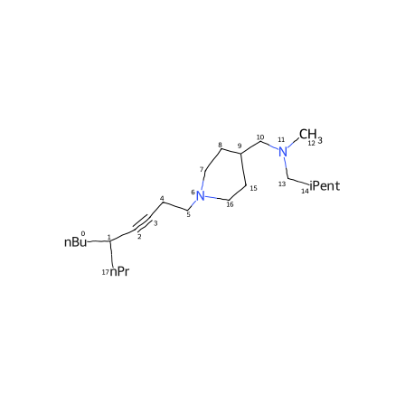 CCCCC(C#CCCN1CCC(CN(C)CC(C)CCC)CC1)CCC